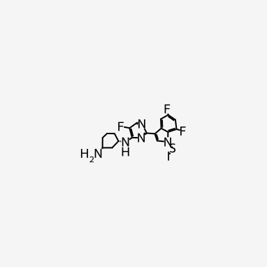 N[C@@H]1CCC[C@H](Nc2nc(-c3cn(SI)c4c(F)cc(F)cc34)ncc2F)C1